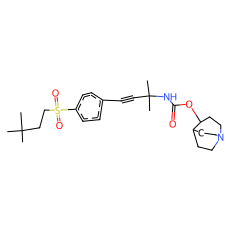 CC(C)(C)CCS(=O)(=O)c1ccc(C#CC(C)(C)NC(=O)OC2CCN3CCC2CC3)cc1